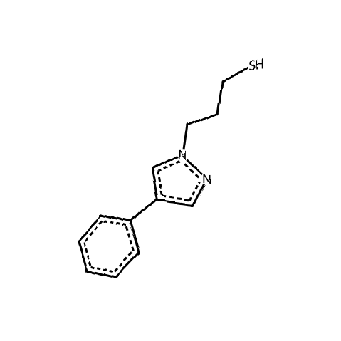 SCCCn1cc(-c2ccccc2)cn1